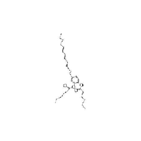 CCCCCCCCCCCCc1ccc(OC(=O)CCCCC)c(OC(=O)CCCCC)c1